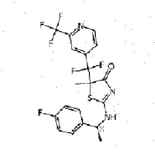 C[C@H](NC1=NC(=O)C(C)(C(F)(F)c2ccnc(C(F)(F)F)c2)S1)c1ccc(F)cc1